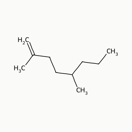 C=C(C)CCC(C)CCC